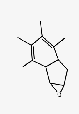 CC1=C(C)C2CC3OC3C2C(C)=C1C